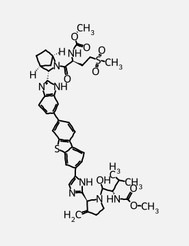 C=C1CCN(C(O)[C@@H](NC(=O)OC)C(C)C)[C@@H]1c1ncc(-c2ccc3c(c2)sc2cc(-c4ccc5nc([C@@H]6[C@H]7CC[C@H](C7)N6C(=O)[C@H](CCS(C)(=O)=O)NC(=O)OC)[nH]c5c4)ccc23)[nH]1